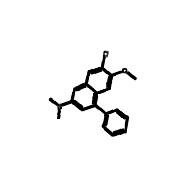 COc1cc2c(-c3ccccc3)cc(N(C)C)cc2cc1Cl